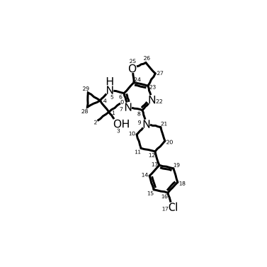 CC(C)(O)C1(Nc2nc(N3CCC(c4ccc(Cl)cc4)CC3)nc3c2OCC3)CC1